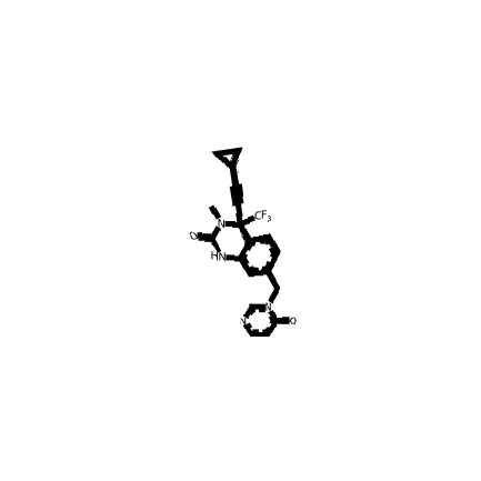 CN1C(=O)Nc2cc(Cn3cnccc3=O)ccc2C1(C#CC1CC1)C(F)(F)F